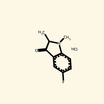 CC1C(=O)c2cc(F)ccc2N1C.Cl